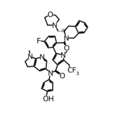 CN1CCc2cc(N(C(=O)c3cc(-c4cc(F)ccc4C(=O)N4Cc5ccccc5C[C@H]4CN4CCOCC4)n(C)c3CC(F)(F)F)c3ccc(O)cc3)cnc21